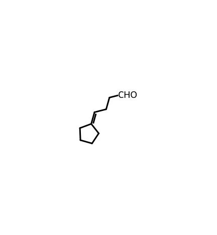 O=CCCC=C1CCCC1